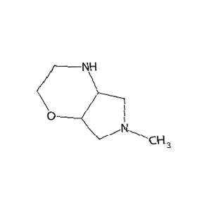 CN1CC2NCCOC2C1